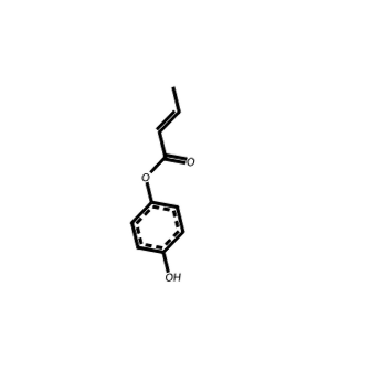 C/C=C/C(=O)Oc1ccc(O)cc1